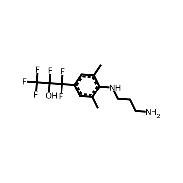 Cc1cc(C(F)(F)C(O)(F)C(F)(F)F)cc(C)c1NCCCN